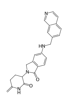 C=C1CCC(N2Cc3cc(NCc4ccc5ccncc5c4)ccc3C2=O)C(=O)N1